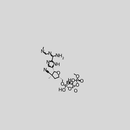 C/N=C\N=C(\N)c1ncc([C@@H]2O[C@H](COP(=O)(O)OP(=O)(O)OP(=O)(O)OC)C[C@@]2(C)C#N)[nH]1